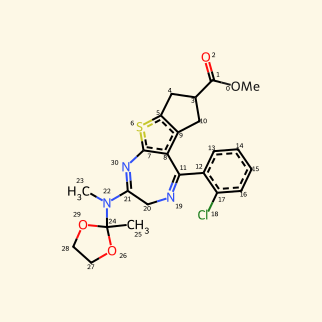 COC(=O)C1Cc2sc3c(c2C1)C(c1ccccc1Cl)=NCC(N(C)C1(C)OCCO1)=N3